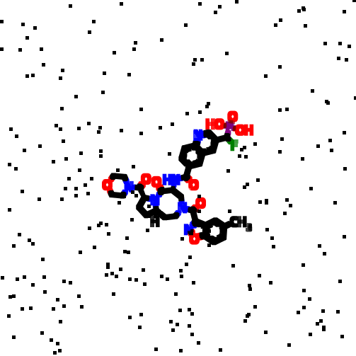 Cc1ccc2onc(C(=O)N3CC[C@H]4CC[C@@H](C(=O)N5CCOCC5)N4C(=O)[C@@H](NC(=O)c4ccc5ncc(C(F)P(=O)(O)O)cc5c4)C3)c2c1